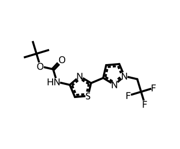 CC(C)(C)OC(=O)Nc1csc(-c2ccn(CC(F)(F)F)n2)n1